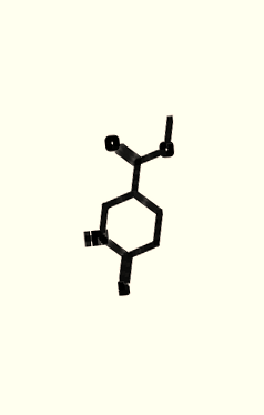 COC(=O)C1CCC(=S)NC1